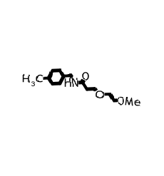 COCCOCCC(=O)NCC1CCC(C)CC1